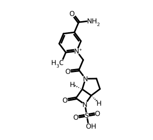 Cc1ccc(C(N)=O)c[n+]1CC(=O)N1CC[C@@H]2[C@H]1C(=O)N2S(=O)(=O)O